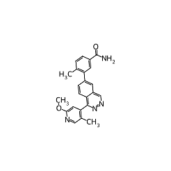 COc1cc(-c2nncc3cc(-c4cc(C(N)=O)ccc4C)ccc23)c(C)cn1